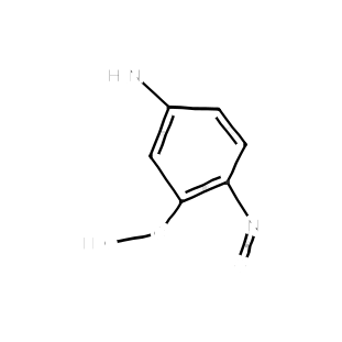 COc1cc(N)ccc1N=O